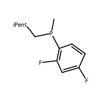 CCCC(C)CP(C)c1ccc(F)cc1F